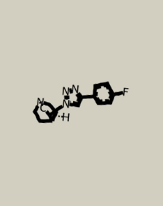 Fc1ccc(-c2cn([C@@H]3CN4CCC3CC4)nn2)cc1